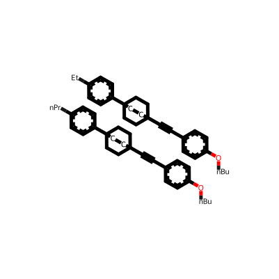 CCCCOc1ccc(C#CC23CCC(c4ccc(CC)cc4)(CC2)CC3)cc1.CCCCOc1ccc(C#CC23CCC(c4ccc(CCC)cc4)(CC2)CC3)cc1